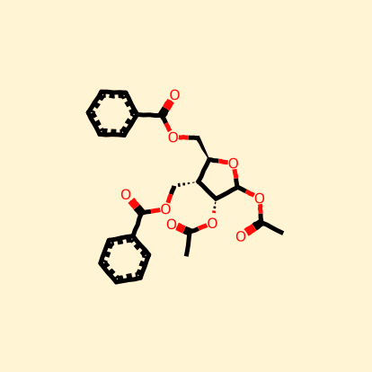 CC(=O)OC1O[C@H](COC(=O)c2ccccc2)[C@@H](COC(=O)c2ccccc2)[C@H]1OC(C)=O